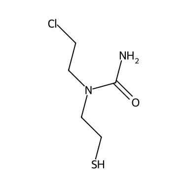 NC(=O)N(CCS)CCCl